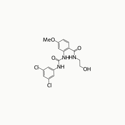 COc1ccc(C(=O)NCCO)c(NC(=O)Nc2cc(Cl)cc(Cl)c2)c1